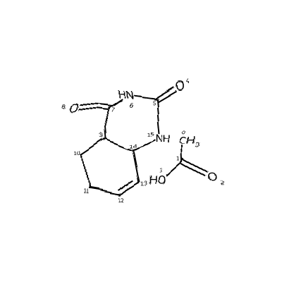 CC(=O)O.O=C1NC(=O)C2CCC=CC2N1